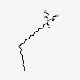 CCCCCCCC/C=C\CCCCCCCCCCC(=O)N(NC=O)NC=O